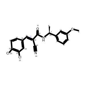 COc1cccc([C@H](C)NC(=O)/C(C#N)=C/c2ccc(Cl)c(Cl)c2)c1